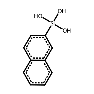 O[Si](O)(O)c1ccc2ccccc2c1